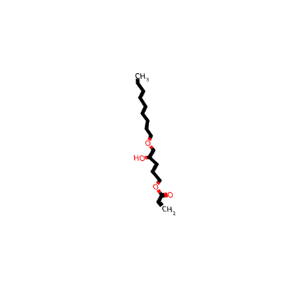 C=CC(=O)OCCCC(O)COCCCCCCCCC